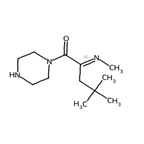 C/N=C(\CC(C)(C)C)C(=O)N1CCNCC1